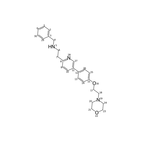 c1ccc(CNCCc2ccc(-c3ccc(OCCN4CCOCC4)cc3)cn2)cc1